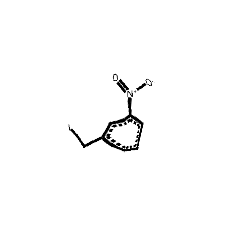 O=[N+]([O-])c1cc[c]c(CI)c1